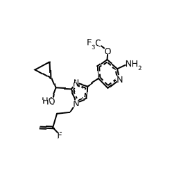 C=C(F)CCn1cc(-c2cnc(N)c(OC(F)(F)F)c2)nc1C(O)C1CC1